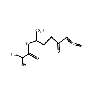 CCCC(O)C(=O)NC(CCC(=O)C=[N+]=[N-])C(=O)O